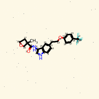 CC1(C(=O)Nc2c[nH]c3ccc(CCOc4ccc(C(F)(F)F)cc4)cc23)CCOC1